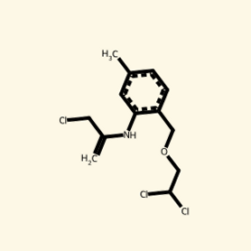 C=C(CCl)Nc1cc(C)ccc1COCC(Cl)Cl